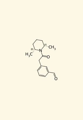 C[C@@H]1CCC[C@H](C)N1C(=O)Cc1cccc(C=O)c1